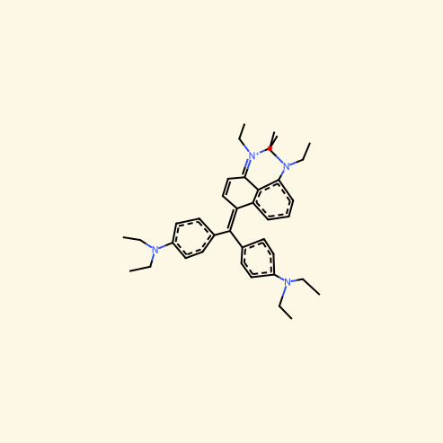 CCN(CC)c1ccc(C(=C2C=CC(=[N+](CC)CC)c3c2cccc3N(CC)CC)c2ccc(N(CC)CC)cc2)cc1